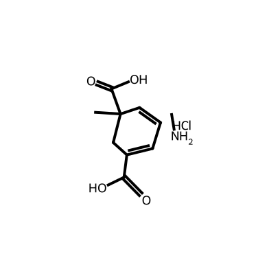 CC1(C(=O)O)C=CC=C(C(=O)O)C1.CN.Cl